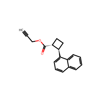 C#CCOC(=O)[C@@H]1CC[C@H]1c1cccc2ccccc12